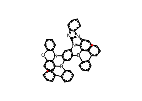 c1ccc(-c2ccccc2B2c3cc4c(cc3N3c5ccccc5Oc5cccc2c53)-n2c3c(cccc3n3c5ccccc5nc23)B4c2ccccc2-c2ccccc2)cc1